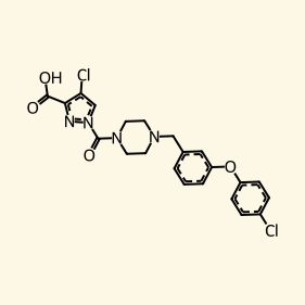 O=C(O)c1nn(C(=O)N2CCN(Cc3cccc(Oc4ccc(Cl)cc4)c3)CC2)cc1Cl